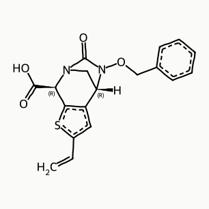 C=Cc1cc2c(s1)[C@@H](C(=O)O)N1C[C@@H]2N(OCc2ccccc2)C1=O